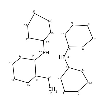 C1CCC(PC2CCCCC2)CC1.CCC1CCCCC1PC1CCCCC1